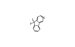 IC1(I)c2ccccc2-c2cnccc21